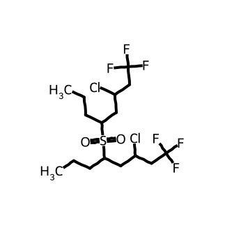 CCCC(CC(Cl)CC(F)(F)F)S(=O)(=O)C(CCC)CC(Cl)CC(F)(F)F